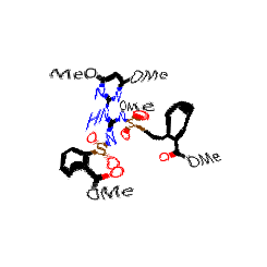 COC(=O)c1ccccc1CS(=O)(=O)N(OC)C(=NS(=O)(=O)c1ccccc1C(=O)OC)Nc1nc(OC)cc(OC)n1